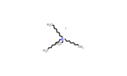 CCCCCCCC[N+](CC)(CCCCCCCC)CCCCCCCC.[I-]